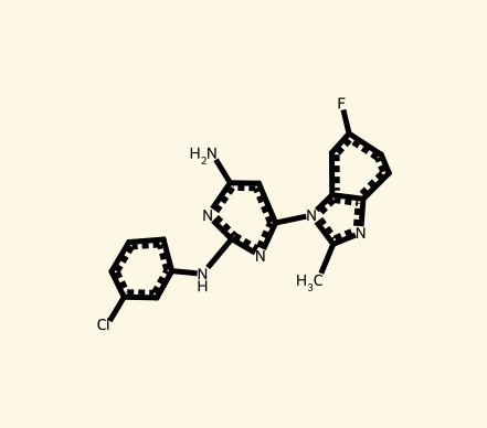 Cc1nc2ccc(F)cc2n1-c1cc(N)nc(Nc2cccc(Cl)c2)n1